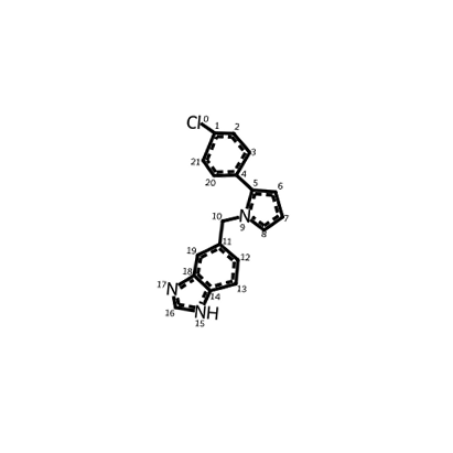 Clc1ccc(-c2cccn2Cc2ccc3[nH]cnc3c2)cc1